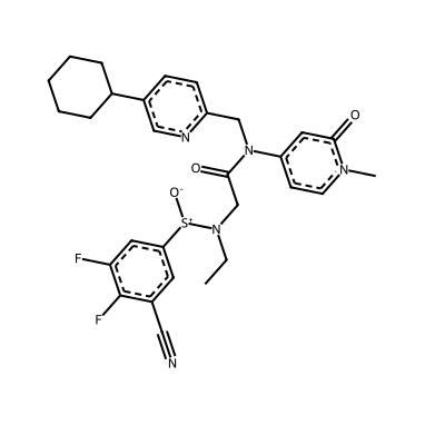 CCN(CC(=O)N(Cc1ccc(C2CCCCC2)cn1)c1ccn(C)c(=O)c1)[S+]([O-])c1cc(F)c(F)c(C#N)c1